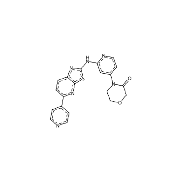 O=C1COCCN1c1ccnc(Nc2nc3ccc(-c4ccncc4)nc3s2)c1